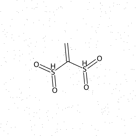 C=C([SH](=O)=O)[SH](=O)=O